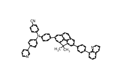 CC1(C)c2cc(-c3ccc(-c4cccc5cccnc45)cc3)cc3ccc4cc(-c5ccc(N(c6ccc(C#N)cc6)c6ccc(-c7cccnc7)cc6)cc5)cc1c4c23